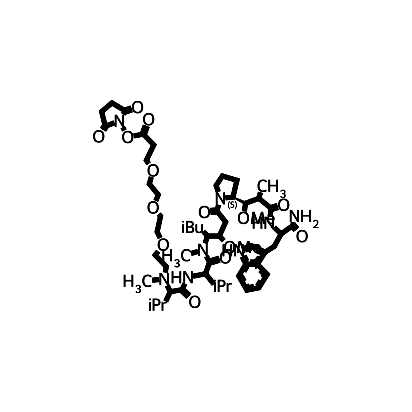 CCC(C)C(C(CC(=O)N1CCC[C@H]1C(OC)C(C)C(=O)NC(Cc1c[nH]c2ccccc12)C(N)=O)OC)N(C)C(=O)C(NC(=O)C(C(C)C)N(C)CCOCCOCCOCCC(=O)ON1C(=O)CCC1=O)C(C)C